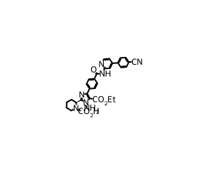 CCOC(=O)c1c(-c2ccc(C(=O)Nc3cc(-c4ccc(C#N)cc4)ccn3)cc2)nc([C@@H]2CCCCN2C(=O)O)n1N